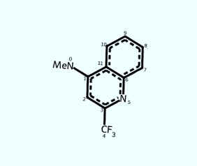 CNc1cc(C(F)(F)F)nc2ccccc12